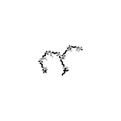 CCCC(C)(CC)C(=O)OCCCC[SiH](CO[Si](C)(C)CCC[SiH2]O[Si](C)(C)CCC[SiH2]O[Si](C)(C)CCC[SiH2]O[Si](C)(C)C)O[Si](C)(C)CCC[SiH2]O[Si](C)(C)CCC[SiH2]O[Si](C)(C)C